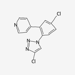 Clc1ccc(-n2cc(Cl)nn2)c(-c2ccncc2)c1